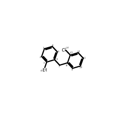 CCc1ccccc1Cc1ccccc1Cl